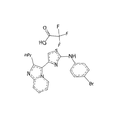 CCCc1nc2ccccn2c1-c1csc(Nc2ccc(Br)cc2)n1.O=C(O)C(F)(F)F